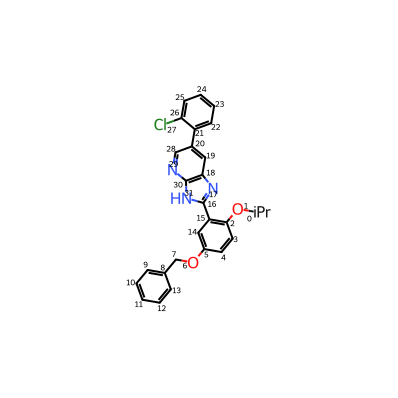 CC(C)Oc1ccc(OCc2ccccc2)cc1-c1nc2cc(-c3ccccc3Cl)cnc2[nH]1